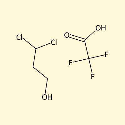 O=C(O)C(F)(F)F.OCCC(Cl)Cl